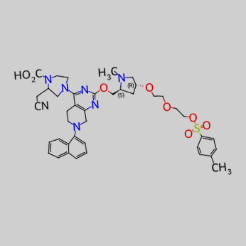 Cc1ccc(S(=O)(=O)OCCOCCO[C@@H]2C[C@@H](COc3nc4c(c(N5CCN(C(=O)O)C(CC#N)C5)n3)CCN(c3cccc5ccccc35)C4)N(C)C2)cc1